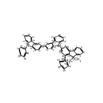 CC1(C)c2ccccc2-c2nc(-n3c4ccccc4c4cc(-c5ccc6c(c5)c5ccccc5n6-c5ccccc5)ccc43)nc(-c3ccccc3)c21